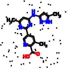 Cc1cc(Nc2cc(C)[nH]n2)nc(-c2cnc(C(=O)O)c(C)c2)n1